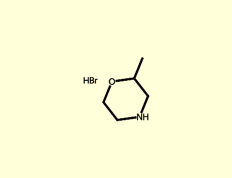 Br.CC1CNCCO1